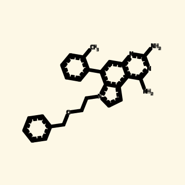 Nc1nc(N)c2c(cc(-c3ccccc3C(F)(F)F)c3c2ccn3CCOCc2ccccc2)n1